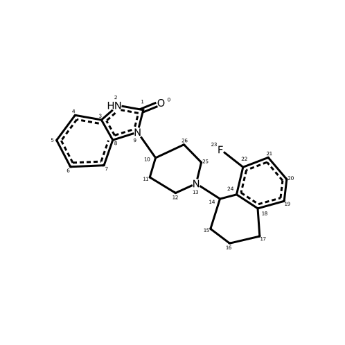 O=c1[nH]c2ccccc2n1C1CCN(C2CCCc3cccc(F)c32)CC1